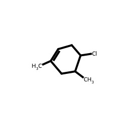 CC1=CCC(Cl)C(C)C1